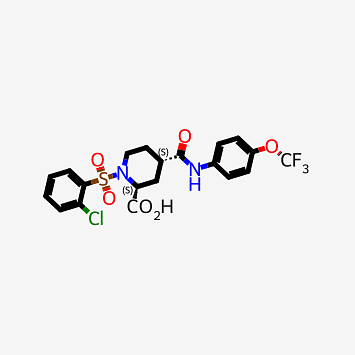 O=C(Nc1ccc(OC(F)(F)F)cc1)[C@H]1CCN(S(=O)(=O)c2ccccc2Cl)[C@H](C(=O)O)C1